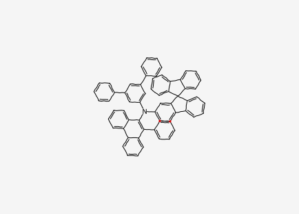 c1ccc(-c2cc(-c3ccccc3)cc(N(c3ccc4c(c3)C3(c5ccccc5-c5ccccc53)c3ccccc3-4)c3c(-c4ccccc4)c4ccccc4c4ccccc34)c2)cc1